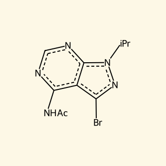 CC(=O)Nc1ncnc2c1c(Br)nn2C(C)C